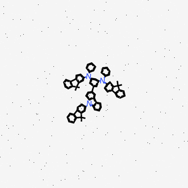 CC1(C)c2ccccc2-c2ccc(N(c3ccccc3)c3cc(-c4ccc5c(c4)c4ccccc4n5-c4ccc5c(c4)C(C)(C)c4ccccc4-5)cc(N(c4ccccc4)c4ccc5c(c4)C(C)(C)c4ccccc4-5)c3)cc21